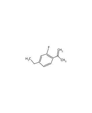 C=C(C)c1ccc(CC)cc1F